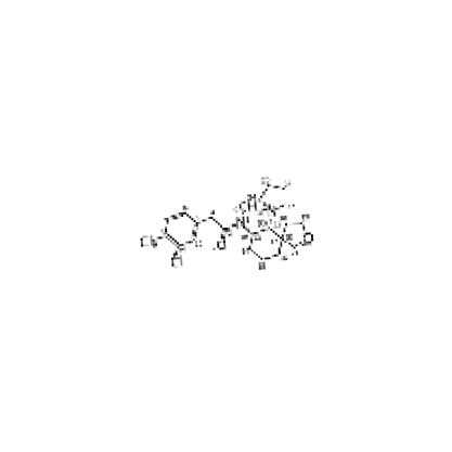 CN(C(=O)Cc1ccc(Cl)c(Cl)c1)[C@@H]1CCC[C@]2(CCOC2)[C@H]1N1CCCC1